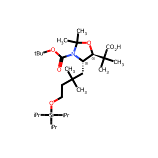 CC(C)[Si](OCCC(C)(C)C[C@H]1[C@H](C(C)(C)C(=O)O)OC(C)(C)N1C(=O)OC(C)(C)C)(C(C)C)C(C)C